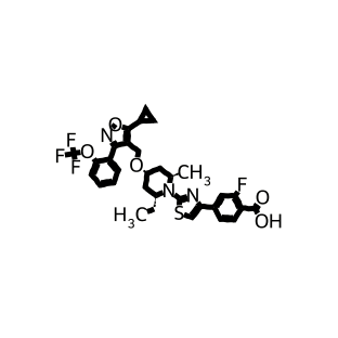 CC[C@@H]1C[C@H](OCc2c(-c3ccccc3OC(F)(F)F)noc2C2CC2)C[C@H](C)N1c1nc(-c2ccc(C(=O)O)c(F)c2)cs1